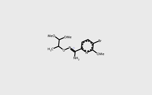 COc1nc(/C(N)=N/OC(C)C(OC)OC)ccc1Br